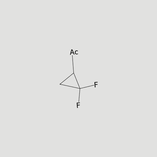 CC(=O)C1CC1(F)F